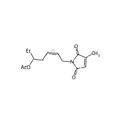 CCC(C/C=C\CN1C(=O)C=C(C)C1=O)OC(C)=O